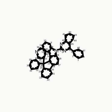 c1ccc(-c2nc(-n3c4ccccc4c4c5c(ccc43)-c3ccccc3C5(c3ccccc3)c3cccnc3)nc3ccccc23)cc1